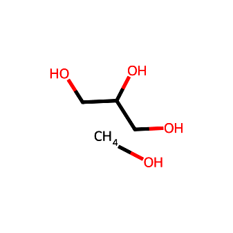 C.CO.OCC(O)CO